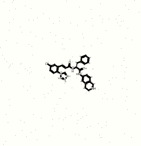 O=C(C=Cc1cc(Cl)ccc1-n1cnnn1)N[C@@H](Cc1ccccc1)C(=O)Nc1ccc2c(c1)CCNC2